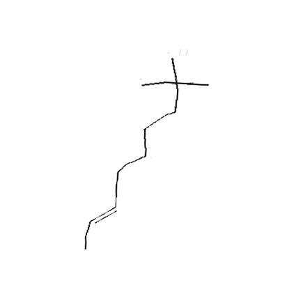 CC=CCCCCC(C)(C)O